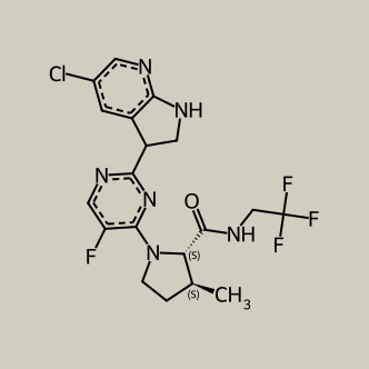 C[C@H]1CCN(c2nc(C3CNc4ncc(Cl)cc43)ncc2F)[C@@H]1C(=O)NCC(F)(F)F